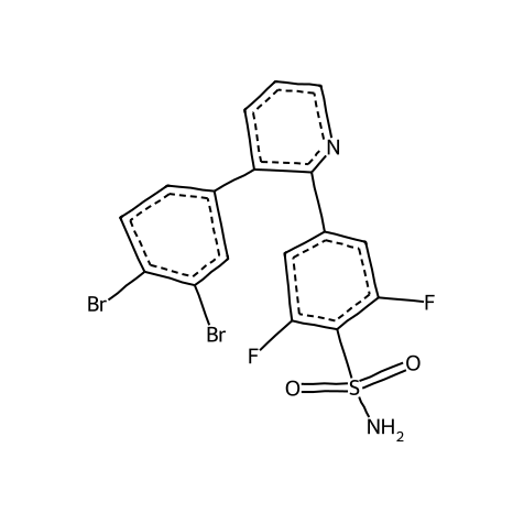 NS(=O)(=O)c1c(F)cc(-c2ncccc2-c2ccc(Br)c(Br)c2)cc1F